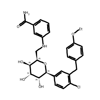 CCOc1ccc(Cc2cc([C@@H]3O[C@H](CNc4cccc(C(N)=O)c4)[C@H](O)[C@@H](O)[C@H]3O)ccc2Cl)cc1